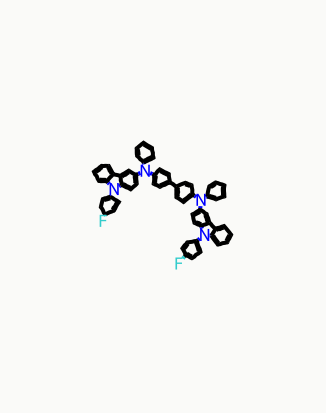 Fc1ccc(-n2c3ccccc3c3cc(N(c4ccccc4)c4ccc(-c5ccc(N(c6ccccc6)c6ccc7c(c6)c6ccccc6n7C6=CCC(F)C=C6)cc5)cc4)ccc32)cc1